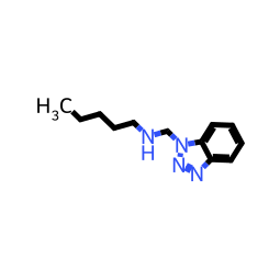 CCCCCNCn1nnc2ccccc21